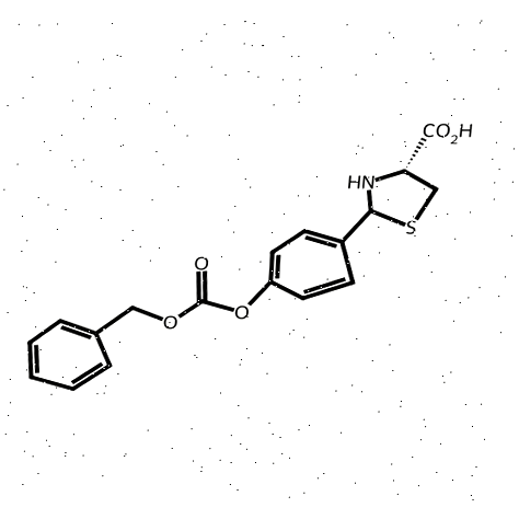 O=C(OCc1ccccc1)Oc1ccc(C2N[C@H](C(=O)O)CS2)cc1